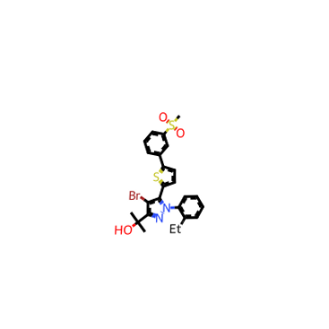 CCc1ccccc1-n1nc(C(C)(C)O)c(Br)c1-c1ccc(-c2cccc(S(C)(=O)=O)c2)s1